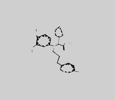 CCOc1ccc(N(CCCc2ccc(C(F)(F)F)cc2)C(C(=O)NC)c2ccccc2)cc1OCC